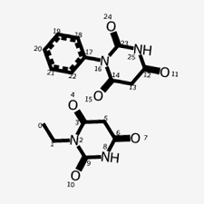 CCN1C(=O)CC(=O)NC1=O.O=C1CC(=O)N(c2ccccc2)C(=O)N1